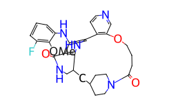 COc1c(F)cccc1Nc1c2[nH]c3c1C(=O)NCC3CC1CCN(CC1)C(=O)CCCOc1cnccc1-2